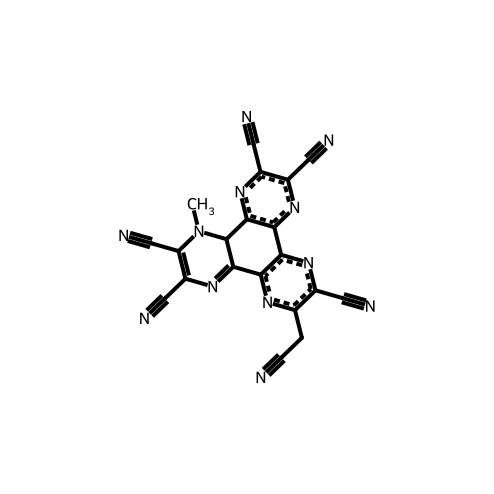 CN1C(C#N)=C(C#N)N=C2c3nc(CC#N)c(C#N)nc3-c3nc(C#N)c(C#N)nc3C21